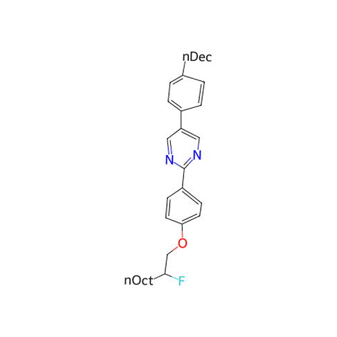 CCCCCCCCCCc1ccc(-c2cnc(-c3ccc(OCC(F)CCCCCCCC)cc3)nc2)cc1